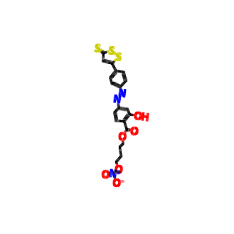 O=C(OCCCCO[N+](=O)[O-])c1ccc(N=Nc2ccc(-c3cc(=S)ss3)cc2)cc1O